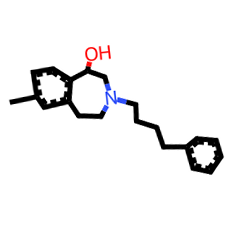 Cc1ccc2c(c1)CCN(CCCCc1ccccc1)CC2O